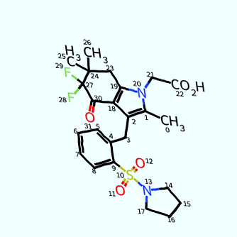 Cc1c(Cc2ccccc2S(=O)(=O)N2CCCC2)c2c(n1CC(=O)O)CC(C)(C)C(F)(F)C2=O